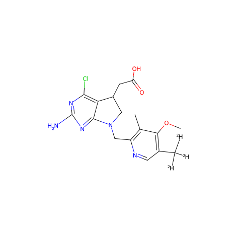 [2H]C([2H])([2H])c1cnc(CN2CC(CC(=O)O)c3c(Cl)nc(N)nc32)c(C)c1OC